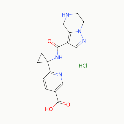 Cl.O=C(O)c1ccc(C2(NC(=O)c3cnn4c3CNCC4)CC2)nc1